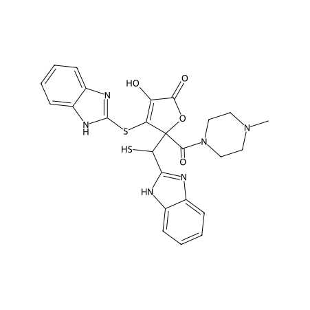 CN1CCN(C(=O)C2(C(S)c3nc4ccccc4[nH]3)OC(=O)C(O)=C2Sc2nc3ccccc3[nH]2)CC1